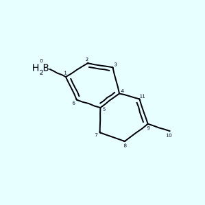 Bc1ccc2c(c1)CCC(C)=C2